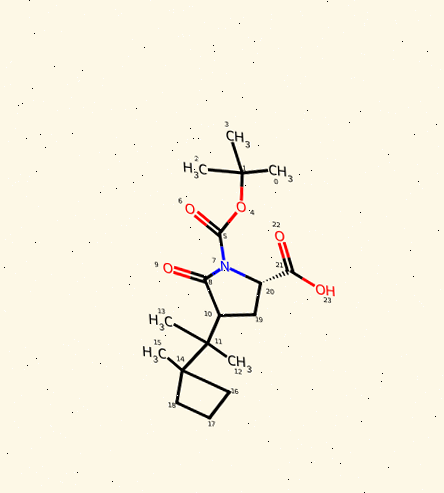 CC(C)(C)OC(=O)N1C(=O)C(C(C)(C)C2(C)CCC2)C[C@H]1C(=O)O